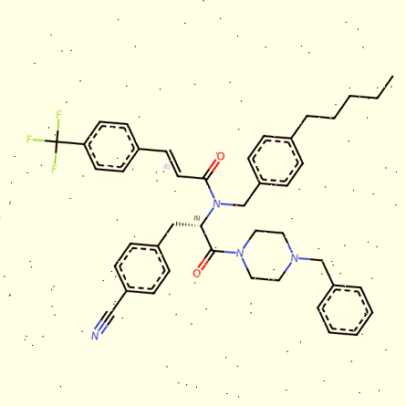 CCCCCc1ccc(CN(C(=O)/C=C/c2ccc(C(F)(F)F)cc2)[C@@H](Cc2ccc(C#N)cc2)C(=O)N2CCN(Cc3ccccc3)CC2)cc1